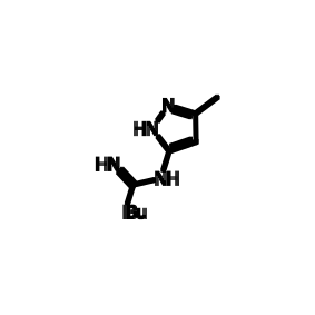 CCC(C)C(=N)Nc1cc(C)n[nH]1